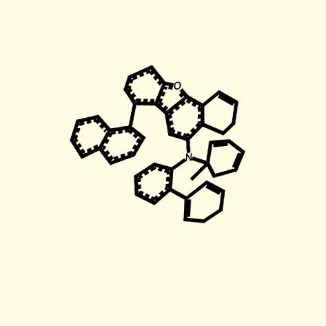 CC1(N(c2ccccc2C2=CCCC=C2)c2cc3c(oc4cccc(-c5cccc6ccccc56)c43)c3c2CCC=C3)C=CC=CC1